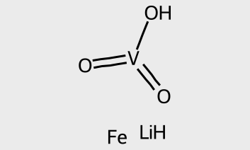 [Fe].[LiH].[O]=[V](=[O])[OH]